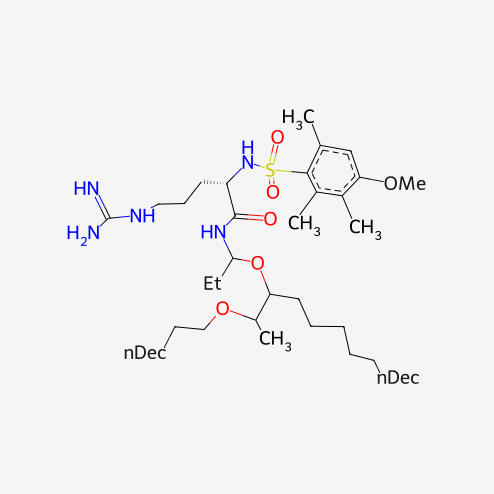 CCCCCCCCCCCCCCCC(OC(CC)NC(=O)[C@H](CCCNC(=N)N)NS(=O)(=O)c1c(C)cc(OC)c(C)c1C)C(C)OCCCCCCCCCCCC